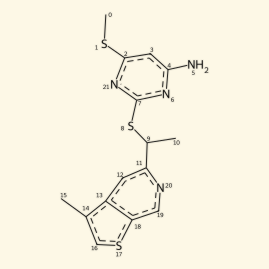 CSc1cc(N)nc(SC(C)c2cc3c(C)csc3cn2)n1